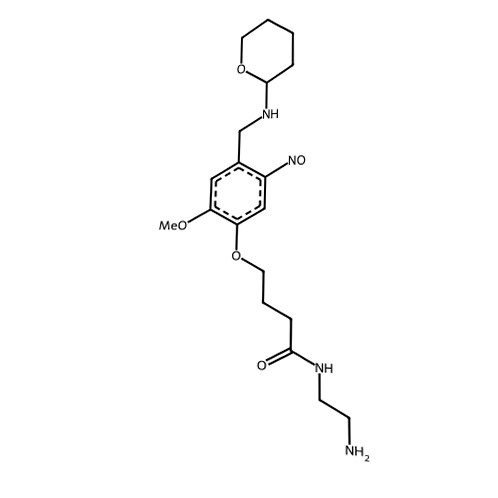 COc1cc(CNC2CCCCO2)c(N=O)cc1OCCCC(=O)NCCN